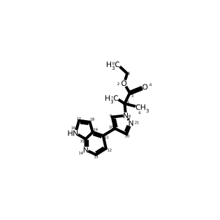 CCOC(=O)C(C)(C)n1cc(-c2ccnc3[nH]ccc23)cn1